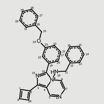 C1=CC(C2=C3C=NC=C[N+]3(NCc3ccccc3)C(c3cccc(OCc4ccccc4)c3)=N2)=C1